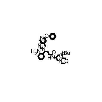 CC(C)(C)OCC(CN1CCOCC1)NC(=O)CC[C@@H](C1CCCCC1)N1Cc2cc(Oc3ccccc3)ncc2N=C1N